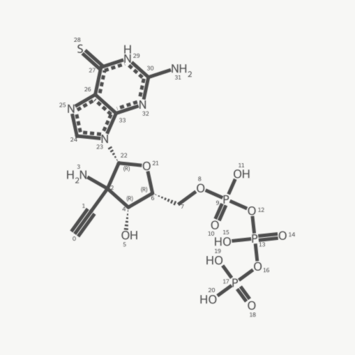 C#CC1(N)[C@@H](O)[C@@H](COP(=O)(O)OP(=O)(O)OP(=O)(O)O)O[C@H]1n1cnc2c(=S)[nH]c(N)nc21